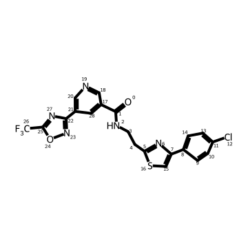 O=C(NCCc1nc(-c2ccc(Cl)cc2)cs1)c1cncc(-c2noc(C(F)(F)F)n2)c1